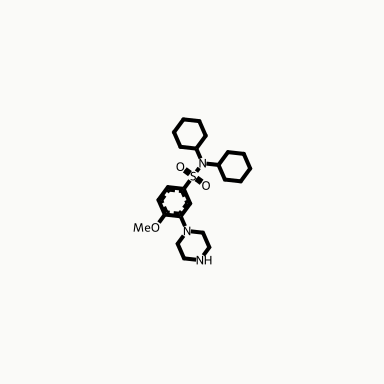 COc1ccc(S(=O)(=O)N(C2CCCCC2)C2CCCCC2)cc1N1CCNCC1